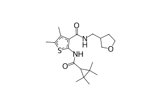 Cc1sc(NC(=O)C2C(C)(C)C2(C)C)c(C(=O)NCC2CCOC2)c1C